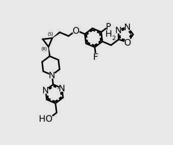 OCc1cnc(N2CCC([C@H]3C[C@H]3CCOc3cc(F)c(Cc4nnco4)c(P)c3)CC2)nc1